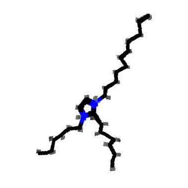 CCCCCCCCCCC[n+]1ccn(CCCCCC)c1CCCCCC